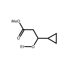 CCOC(CC(=O)OC)C1CC1